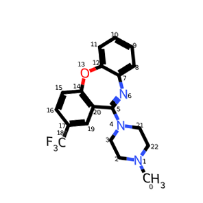 CN1CCN(C2=Nc3ccccc3Oc3ccc(C(F)(F)F)cc32)CC1